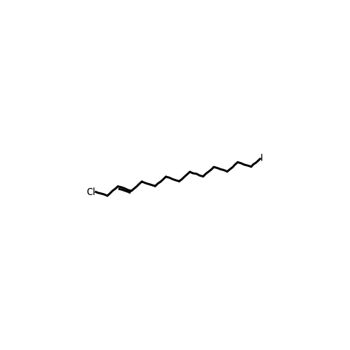 ClCC=CCCCCCCCCCCI